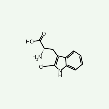 N[C@@H](Cc1c(Cl)[nH]c2ccccc12)C(=O)O